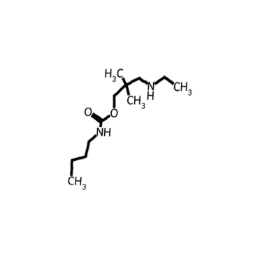 CCCCNC(=O)OCC(C)(C)CNCC